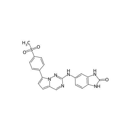 CS(=O)(=O)c1ccc(-c2ccc3cnc(Nc4ccc5[nH]c(=O)[nH]c5c4)nn23)cc1